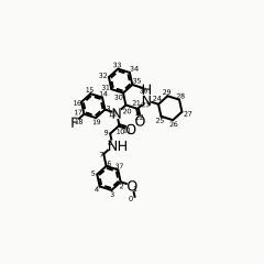 COc1cccc(CNCC(=O)N(c2cccc(F)c2)C(C(=O)NC2CCCCC2)c2ccccc2C)c1